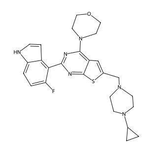 Fc1ccc2[nH]ccc2c1-c1nc(N2CCOCC2)c2cc(CN3CCN(C4CC4)CC3)sc2n1